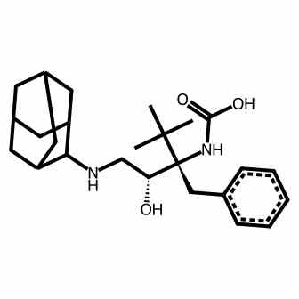 CC(C)(C)[C@](Cc1ccccc1)(NC(=O)O)[C@H](O)CNC1C2CC3CC(C2)CC1C3